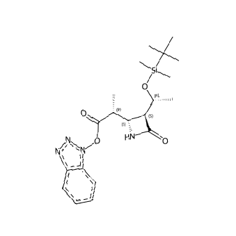 C[C@@H](O[Si](C)(C)C(C)(C)C)[C@H]1C(=O)N[C@@H]1[C@@H](C)C(=O)On1nnc2ccccc21